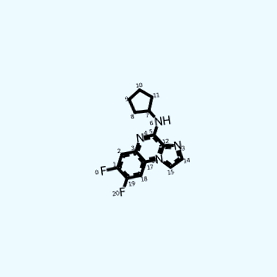 Fc1cc2nc(NC3CCCC3)c3nccn3c2cc1F